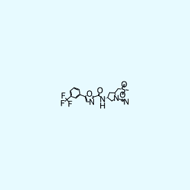 CS(=O)(=O)CC1C[C@@H](NC(=O)c2ncc(-c3cccc(C(F)(F)F)c3)o2)CN1C#N